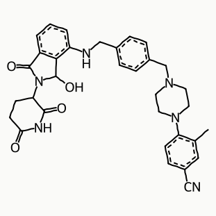 Cc1cc(C#N)ccc1N1CCN(Cc2ccc(CNc3cccc4c3C(O)N(C3CCC(=O)NC3=O)C4=O)cc2)CC1